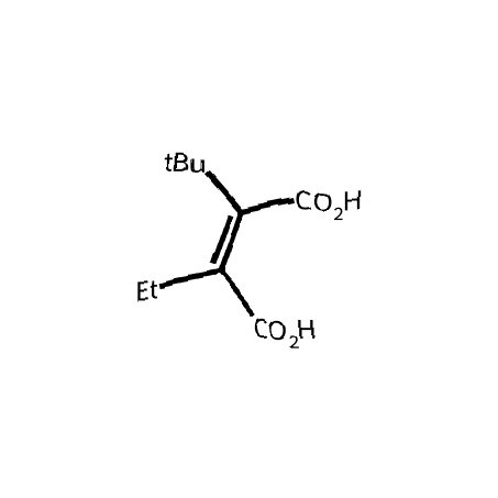 CCC(C(=O)O)=C(C(=O)O)C(C)(C)C